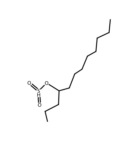 CCCCCCCCC(CCC)O[SH](=O)=O